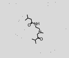 CC(C)CC(=O)NCCN(C)CC(=O)C(C)C